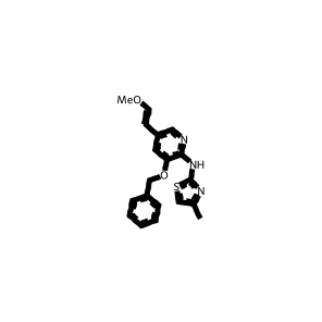 COC=Cc1cnc(Nc2nc(C)cs2)c(OCc2ccccc2)c1